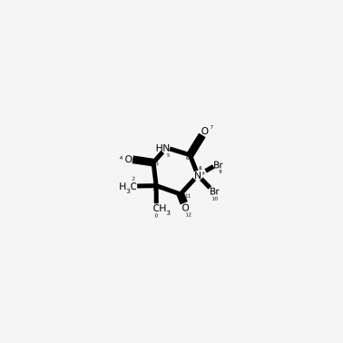 CC1(C)C(=O)NC(=O)[N+](Br)(Br)C1=O